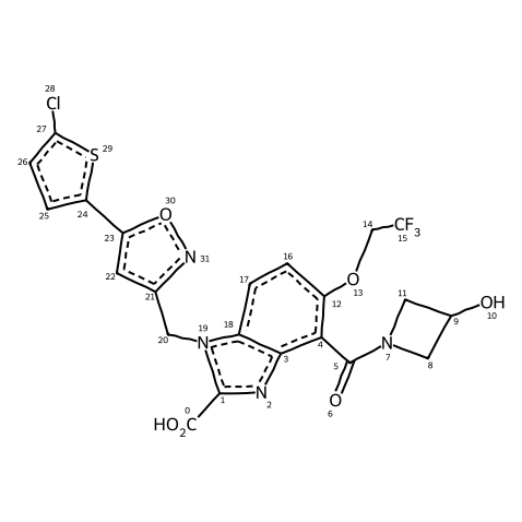 O=C(O)c1nc2c(C(=O)N3CC(O)C3)c(OCC(F)(F)F)ccc2n1Cc1cc(-c2ccc(Cl)s2)on1